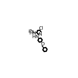 CC(C)Nc1cc(Cl)cnc1Nc1ccc(OCc2ccccc2)cc1